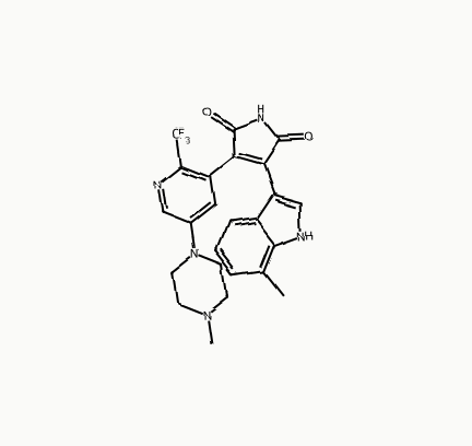 Cc1cccc2c(C3=C(c4cc(N5CCN(C)CC5)cnc4C(F)(F)F)C(=O)NC3=O)c[nH]c12